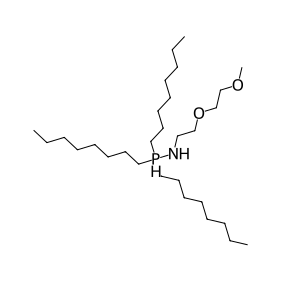 CCCCCCCC[PH](CCCCCCCC)(CCCCCCCC)NCCOCCOC